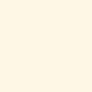 C=CC(=O)OC(C)O[Si](C)(CC)OCC